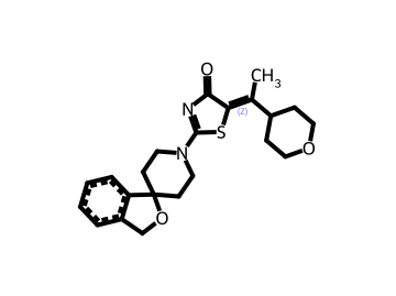 C/C(=C1/SC(N2CCC3(CC2)OCc2ccccc23)=NC1=O)C1CCOCC1